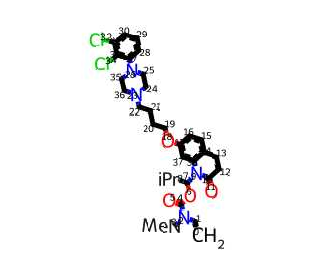 C=CN(NC)C(=O)OC(C(C)C)N1C(=O)CCc2ccc(OCCCCN3CCN(c4cccc(Cl)c4Cl)CC3)cc21